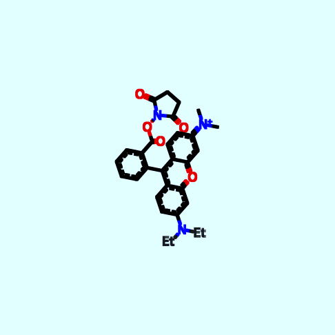 CCN(CC)c1ccc2c(-c3ccccc3C(=O)ON3C(=O)CCC3=O)c3ccc(=[N+](C)C)cc-3oc2c1